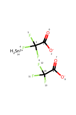 O=C([O-])C(F)(F)F.O=C([O-])C(F)(F)F.[SnH2+2]